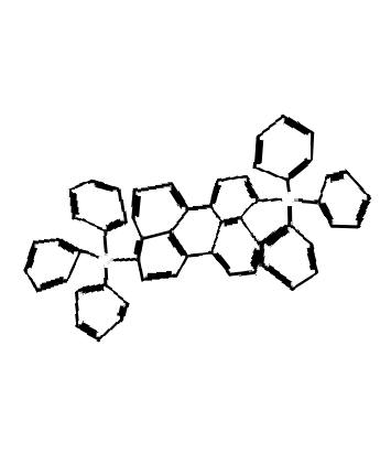 c1ccc([Si](c2ccccc2)(c2ccccc2)c2ccc3c4cccc5c([Si](c6ccccc6)(c6ccccc6)c6ccccc6)ccc(c6cccc2c63)c54)cc1